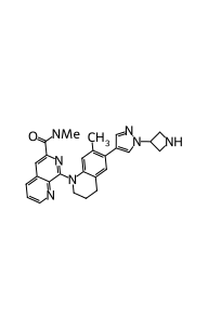 CNC(=O)c1cc2cccnc2c(N2CCCc3cc(-c4cnn(C5CNC5)c4)c(C)cc32)n1